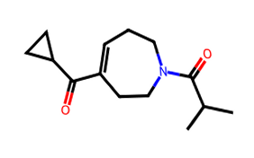 CC(C)C(=O)N1CCC=C(C(=O)C2CC2)CC1